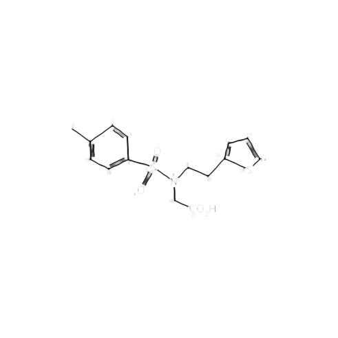 Cc1ccc(S(=O)(=O)N(CCc2cccs2)CC(=O)O)cc1